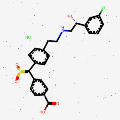 Cl.O=C(O)c1ccc(C(c2ccc(CCNC[C@H](O)c3cccc(Cl)c3)cc2)=S(=O)=O)cc1